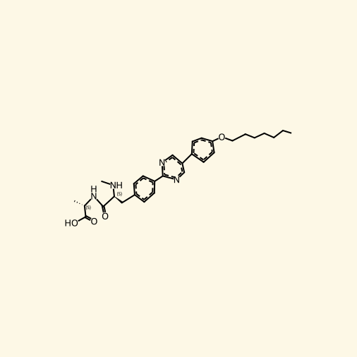 CCCCCCCOc1ccc(-c2cnc(-c3ccc(C[C@H](NC)C(=O)N[C@@H](C)C(=O)O)cc3)nc2)cc1